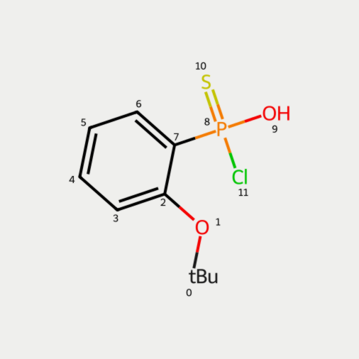 CC(C)(C)Oc1ccccc1P(O)(=S)Cl